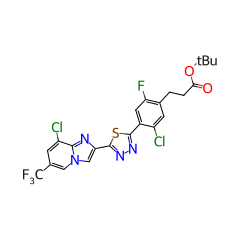 CC(C)(C)OC(=O)CCc1cc(Cl)c(-c2nnc(-c3cn4cc(C(F)(F)F)cc(Cl)c4n3)s2)cc1F